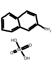 O=[Se](=O)(O)O.Pc1ccc2ccccc2c1